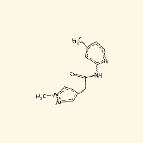 Cc1ccnc(NC(=O)Cc2cnn(C)c2)c1